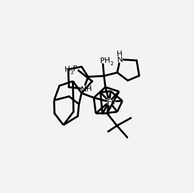 CC(C)(C)[C]12[CH]3[C]4(C(P)(C5CCCN5)C5CCCN5)[C]5(C6(CP)C7CC8CC(C7)CC6C8)[CH]1[Fe]32451678[CH]2[CH]1[CH]6[CH]7[CH]28